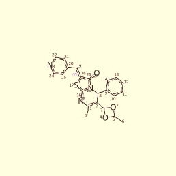 CC1=C(C2OC(C)O2)C(c2ccccc2)n2c(s/c(=C\c3ccncc3)c2=O)=N1